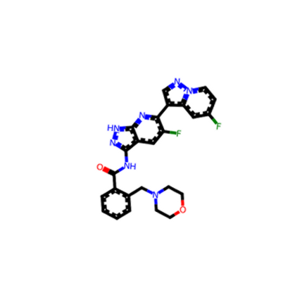 O=C(Nc1n[nH]c2nc(-c3cnn4ccc(F)cc34)c(F)cc12)c1ccccc1CN1CCOCC1